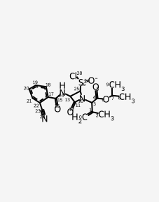 C=C(C)C(C(=O)OC(C)C)N1C(=O)C(NC(=O)c2ccccc2C#N)C1[S+]([O-])Cl